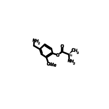 COc1cc(CN)ccc1OC(=O)[C@H](C)N